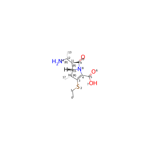 CCSC1=C(C(=O)O)N2C(=O)[C@H]([C@@H](C)N)[C@H]2[C@H]1C